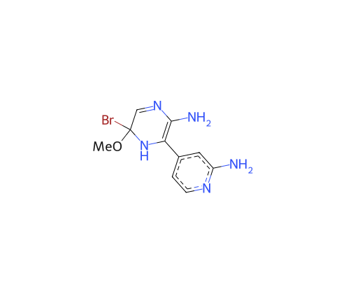 COC1(Br)C=NC(N)=C(c2ccnc(N)c2)N1